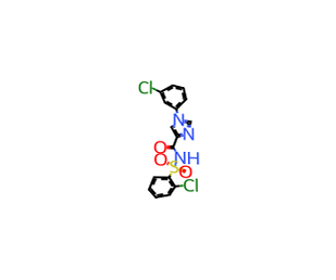 O=C(NS(=O)(=O)c1ccccc1Cl)c1cn(-c2cccc(Cl)c2)cn1